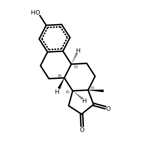 C[C@]12CC[C@@H]3c4ccc(O)cc4CC[C@H]3[C@@H]1CC(=O)C2=O